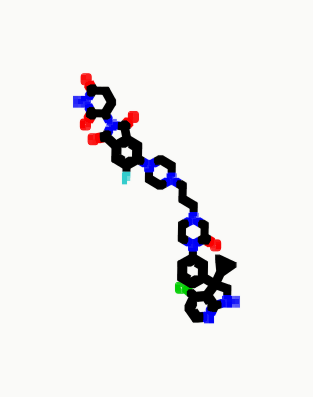 O=C1CCC(N2C(=O)c3cc(F)c(N4CCN(CCCN5CCN(c6cccc(C7(C8CC8)CNc8nccc(Cl)c87)c6)C(=O)C5)CC4)cc3C2=O)C(=O)N1